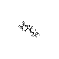 CC(C)(C)OC(=O)C1CCC(=O)C(=O)N1